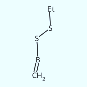 C=BSSCC